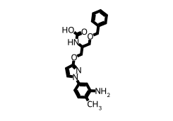 Cc1ccc(-n2ccc(OCC(COCc3ccccc3)NC(=O)O)n2)cc1N